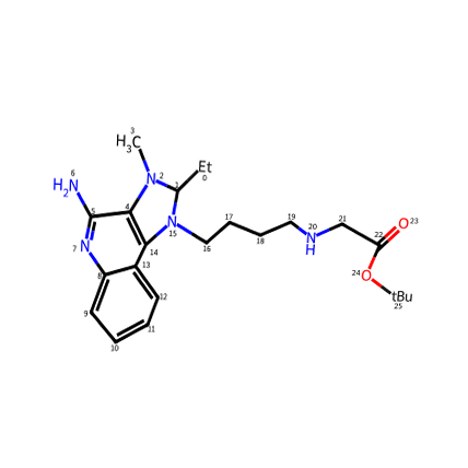 CCC1N(C)c2c(N)nc3ccccc3c2N1CCCCNCC(=O)OC(C)(C)C